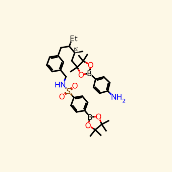 CCC(Cc1cccc(CNS(=O)(=O)c2ccc(B3OC(C)(C)C(C)(C)O3)cc2)c1)[C@@H](C)CC1(C)OB(c2ccc(N)cc2)OC1(C)C